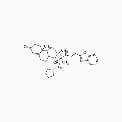 CC1C2CCC3=CC(=O)CCC3(C)C2CCC1(C)[C@@](C)(OC(=O)C1CCCC1)C(=O)CSc1nc2ccccc2o1